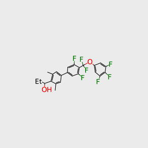 CCC(O)c1c(C)cc(-c2cc(F)c(C(F)(F)Oc3cc(F)c(F)c(F)c3)c(F)c2)cc1C